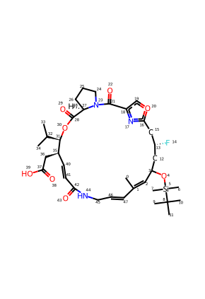 CC1=C\C(O[Si](C)(C)C(C)(C)C)C[C@@H](F)Cc2nc(co2)C(=O)N2CCC[C@@H]2C(=O)O[C@H](C(C)C)[C@H](CC(=O)O)/C=C/C(=O)NC\C=C\1